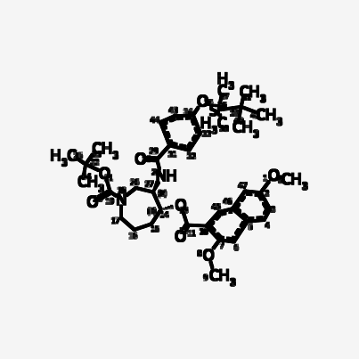 COc1ccc2cc(OC)c(C(=O)O[C@@H]3CCCN(C(=O)OC(C)(C)C)C[C@H]3NC(=O)c3ccc(O[Si](C)(C)C(C)(C)C)cc3)cc2c1